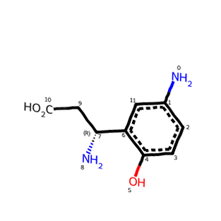 Nc1ccc(O)c([C@H](N)CC(=O)O)c1